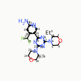 CC[C@@H]1COCCN1c1nc(-c2cnc(N)cc2C(F)F)nc(N2CCOC[C@H]2C)n1